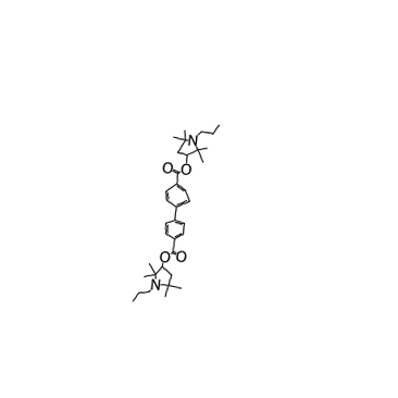 CCCN1C(C)(C)CC(OC(=O)c2ccc(-c3ccc(C(=O)OC4CC(C)(C)N(CCC)C4(C)C)cc3)cc2)C1(C)C